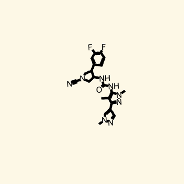 Cc1c(-c2cnn(C)c2)nn(C)c1NC(=O)NC1CN(C#N)CC1c1ccc(F)c(F)c1